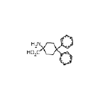 NC1(C(=O)O)CCC(c2ccccc2)(c2ccccc2)CC1